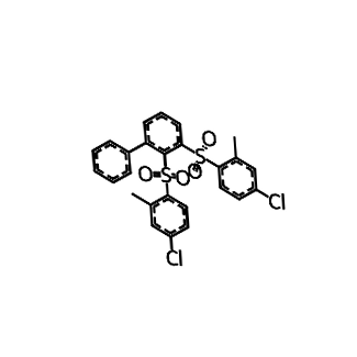 Cc1cc(Cl)ccc1S(=O)(=O)c1cccc(-c2ccccc2)c1S(=O)(=O)c1ccc(Cl)cc1C